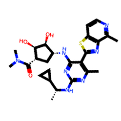 Cc1nc(N[C@H](C)C2CC2)nc(N[C@@H]2C[C@H](C(=O)N(C)C)[C@@H](O)[C@H]2O)c1-c1nc2c(C)nccc2s1